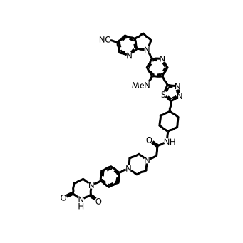 CNc1cc(N2CCc3cc(C#N)cnc32)ncc1-c1nnc(C2CCC(NC(=O)CN3CCN(c4ccc(N5CCC(=O)NC5=O)cc4)CC3)CC2)s1